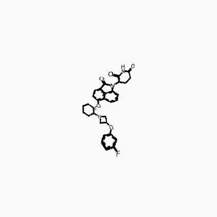 O=C1CCC(N2C(=O)c3ccc(O[C@@H]4CCCCC4N4CC(Oc5cccc(F)c5)C4)c4cccc2c34)C(=O)N1